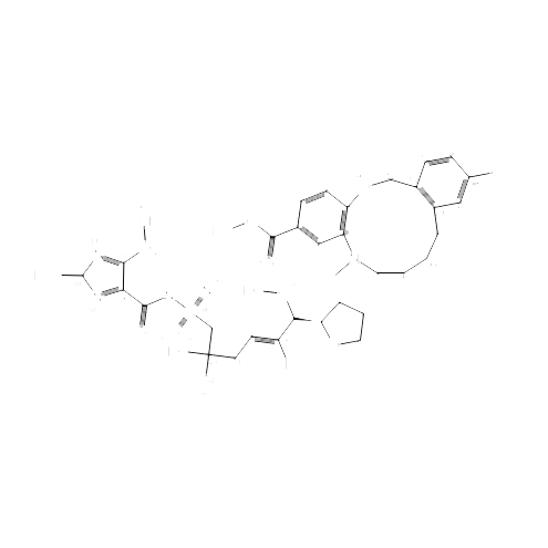 COC(=O)c1ccc2c(c1)N(C[C@@H]1CCO[C@H]1C(OC)/C(F)=C/CC(C)(O)CS(=N)(=O)NC(=O)C1=NC(C)N=C1OC)CCCCc1cc(Cl)ccc1CO2